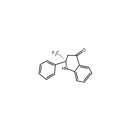 O=C1C[C@@](c2ccccc2)(C(F)(F)F)Nc2ccccc21